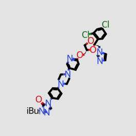 CC[C@@H](C)n1ncn(-c2ccc(N3CCN(c4ccc(OC[C@@H]5CO[C@@](Cn6ccnc6)(c6ccc(Cl)cc6Cl)O5)nc4)CC3)cc2)c1=O